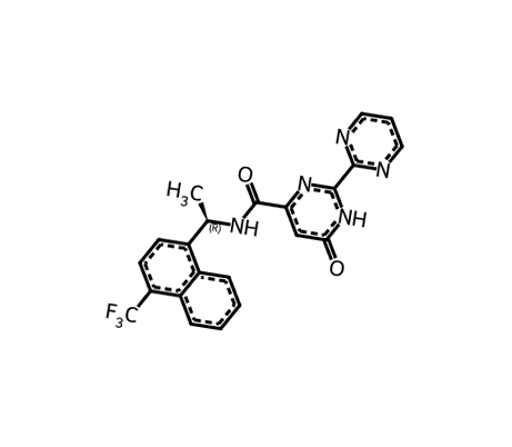 C[C@@H](NC(=O)c1cc(=O)[nH]c(-c2ncccn2)n1)c1ccc(C(F)(F)F)c2ccccc12